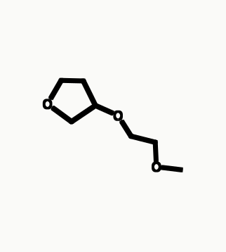 COCCOC1CCOC1